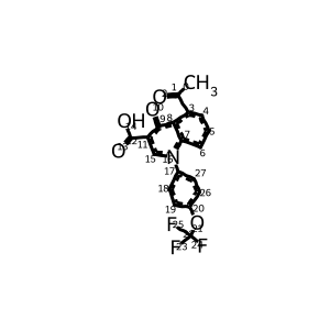 CC(=O)c1cccc2c1c(=O)c(C(=O)O)cn2-c1ccc(OC(F)(F)F)cc1